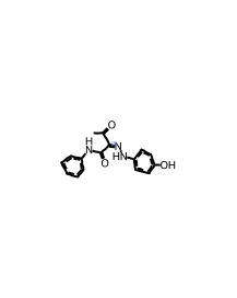 CC(=O)/C(=N/Nc1ccc(O)cc1)C(=O)Nc1ccccc1